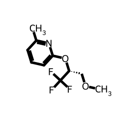 COC[C@@H](Oc1cccc(C)n1)C(F)(F)F